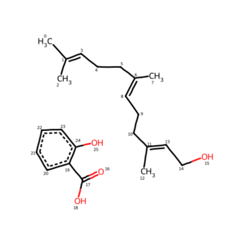 CC(C)=CCCC(C)=CCCC(C)=CCO.O=C(O)c1ccccc1O